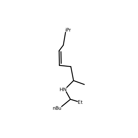 CCCCC(CC)NC(C)C/C=C\CC(C)C